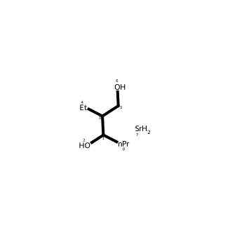 CCCC(O)C(CC)CO.[SrH2]